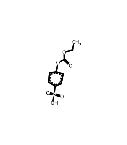 CCOC(=O)Oc1ccc(S(=O)(=O)O)cc1